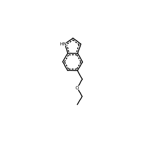 CCOCc1ccc2[nH]ccc2c1